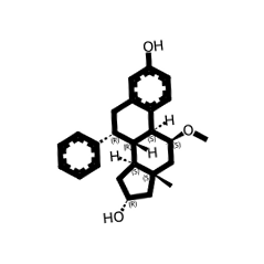 CO[C@H]1C[C@]2(C)C[C@H](O)C[C@H]2[C@H]2[C@H]1c1ccc(O)cc1C[C@H]2c1ccccc1